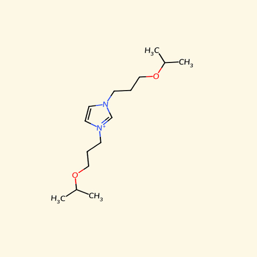 CC(C)OCCCn1cc[n+](CCCOC(C)C)c1